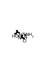 C=C(Cn1cnc2c(Cl)nc(N)nc21)C(C)O